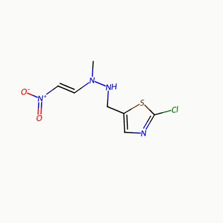 CN(C=C[N+](=O)[O-])NCc1cnc(Cl)s1